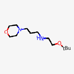 CC(C)(C)OCCNCCCN1CCOCC1